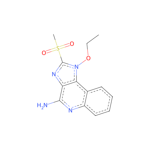 CCOn1c(S(C)(=O)=O)nc2c(N)nc3ccccc3c21